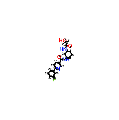 CC(C)(O)C(=O)N[C@H]1CCC[C@H](NC(=O)c2ccc(-c3cccc(F)c3)nc2)C1